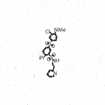 CNc1ccc(S(=O)(=O)c2ccc(C(C)C)c(S(=O)(=O)NCCc3ccccn3)c2)cc1Cl